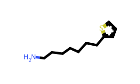 NCCCCCCCc1cccs1